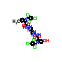 Cc1ccc2c(c1)c(C(=O)C(=O)Nc1ncccn1)c(Cl)n2Cc1ccc(Cl)cc1Cl.O=C(Nc1ncccn1)C(=O)c1c(Cl)n(Cc2ccc(Cl)cc2Cl)c2ccc(O)cc12